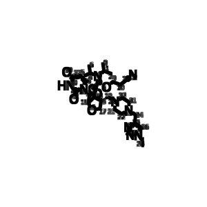 CC(C)N(C(C)C)P(OCCC#N)OC1C2OC[C@]1(CN1CCN(Cc3cn(I)nn3)CC1)O[C@H]2n1ccc(=O)[nH]c1=O